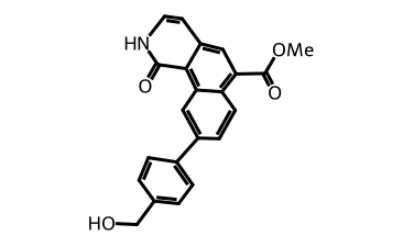 COC(=O)c1cc2cc[nH]c(=O)c2c2cc(-c3ccc(CO)cc3)ccc12